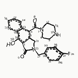 O=C1c2c(c(C(=O)N3CCNCC3)c3cccnc3c2O)CN1Cc1ccc(F)cc1